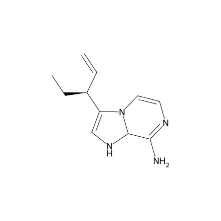 C=C[C@H](CC)C1=CNC2C(N)=NC=CN12